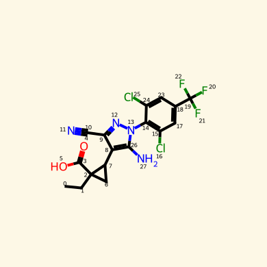 CCC1(C(=O)O)CC1c1c(C#N)nn(-c2c(Cl)cc(C(F)(F)F)cc2Cl)c1N